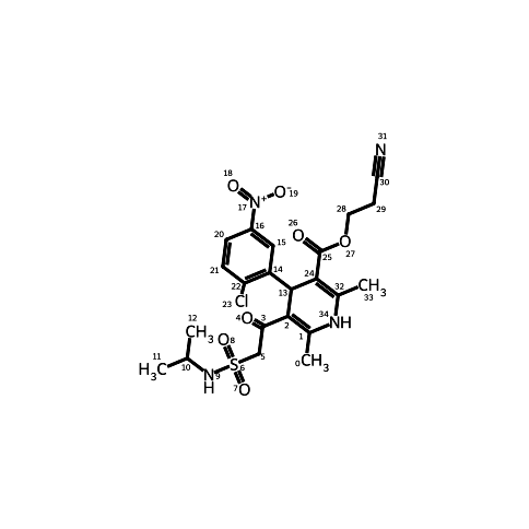 CC1=C(C(=O)CS(=O)(=O)NC(C)C)C(c2cc([N+](=O)[O-])ccc2Cl)C(C(=O)OCCC#N)=C(C)N1